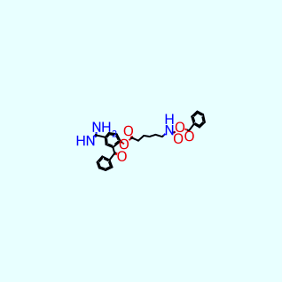 N=C(N)c1ccc(OC(=O)CCCCCNC(=O)OC(=O)c2ccccc2)c(C(=O)c2ccccc2)c1